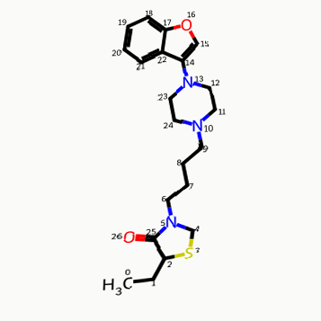 CCC1SCN(CCCCN2CCN(c3coc4ccccc34)CC2)C1=O